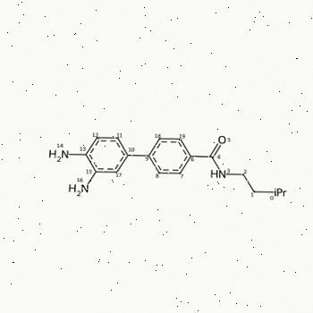 CC(C)CCNC(=O)c1ccc(-c2ccc(N)c(N)c2)cc1